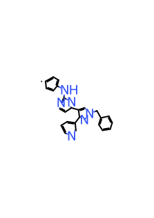 [c]1ccc(Nc2nccc(-c3cn(Cc4ccccc4)nc3-c3cccnc3)n2)cc1